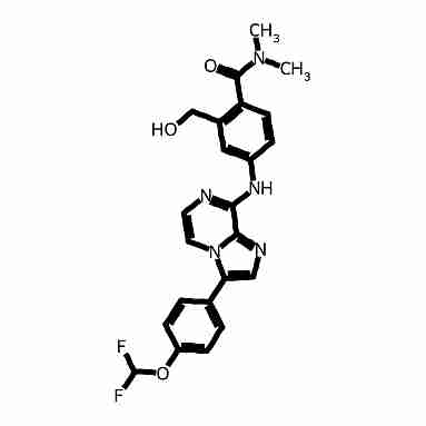 CN(C)C(=O)c1ccc(Nc2nccn3c(-c4ccc(OC(F)F)cc4)cnc23)cc1CO